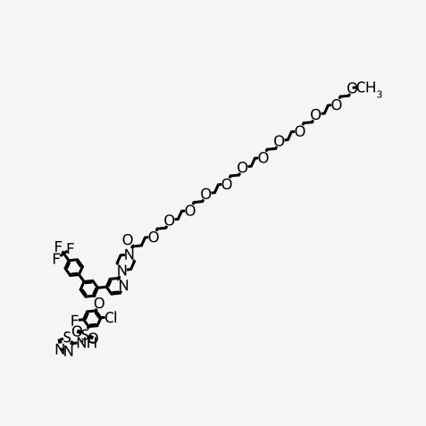 COCCOCCOCCOCCOCCOCCOCCOCCOCCOCCOCCOCCC(=O)N1CCN(c2cc(-c3cc(-c4ccc(C(F)(F)F)cc4)ccc3Oc3cc(F)c(S(=O)(=O)Nc4nncs4)cc3Cl)ccn2)CC1